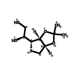 CC1(C)O[C@@H]2[C@@H]([C@@H](O)CO)SC[C@@H]2O1